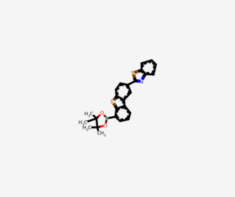 CC1(C)OB(c2cccc3c2sc2ccc(-c4nc5ccccc5s4)cc23)OC1(C)C